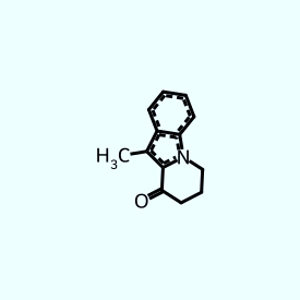 Cc1c2n(c3ccccc13)CCCC2=O